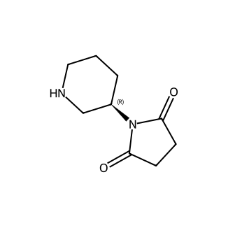 O=C1CCC(=O)N1[C@@H]1CCCNC1